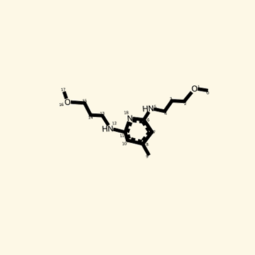 COCCCNc1cc(C)cc(NCCCOC)n1